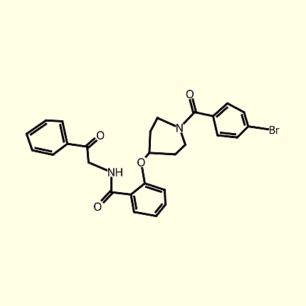 O=C(CNC(=O)c1ccccc1OC1CCN(C(=O)c2ccc(Br)cc2)CC1)c1ccccc1